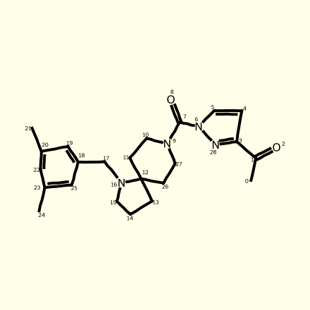 CC(=O)c1ccn(C(=O)N2CCC3(CCCN3Cc3cc(C)cc(C)c3)CC2)n1